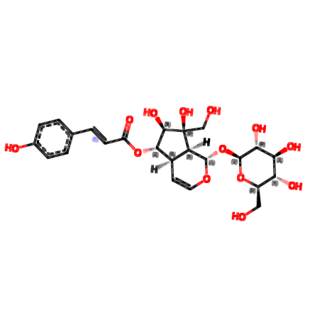 O=C(/C=C/c1ccc(O)cc1)O[C@H]1[C@@H]2C=CO[C@@H](O[C@@H]3O[C@H](CO)[C@@H](O)[C@H](O)[C@H]3O)[C@@H]2[C@@](O)(CO)[C@@H]1O